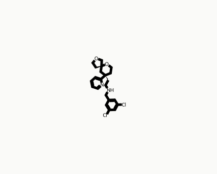 Clc1cc(Cl)cc(CNCC[C@@]2(c3ccccn3)CCO[C@]3(CCOC3)C2)c1